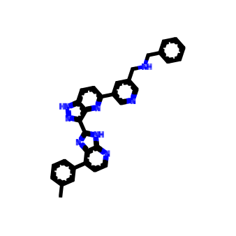 Cc1cccc(-c2ccnc3[nH]c(-c4n[nH]c5ccc(-c6cncc(CNCc7ccccc7)c6)nc45)nc23)c1